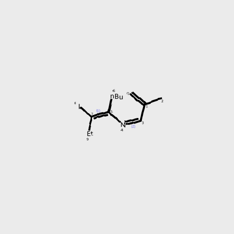 C=C(C)/C=N\C(CCCC)=C(\I)CC